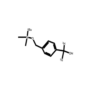 [2H]C([2H])(O)c1ccc(CO[Si](C)(C)C(C)(C)C)cc1